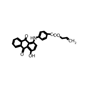 C=CCOCCc1ccc(Nc2ccc(O)c3c2C(=O)c2ccccc2C3=O)cc1